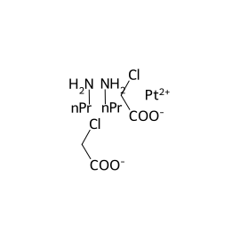 CCCN.CCCN.O=C([O-])CCl.O=C([O-])CCl.[Pt+2]